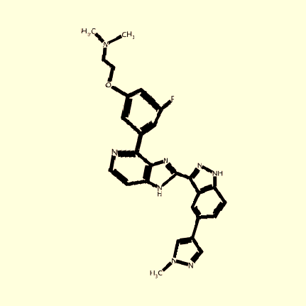 CN(C)CCOc1cc(F)cc(-c2nccc3[nH]c(-c4n[nH]c5ccc(-c6cnn(C)c6)cc45)nc23)c1